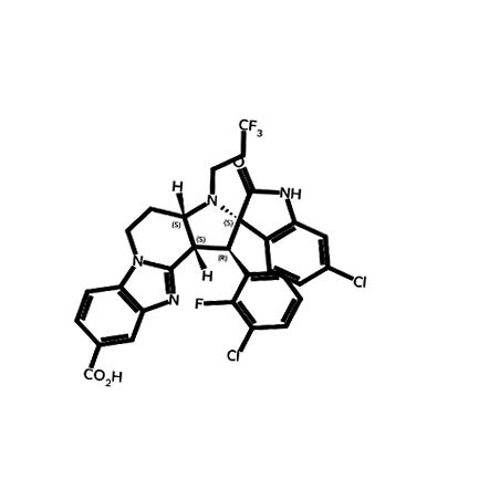 O=C(O)c1ccc2c(c1)nc1n2CC[C@H]2[C@@H]1[C@H](c1cccc(Cl)c1F)[C@]1(C(=O)Nc3cc(Cl)ccc31)N2CCC(F)(F)F